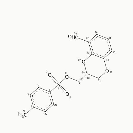 Cc1ccc(S(=O)(=O)OC[C@H]2COc3cccc(C=O)c3O2)cc1